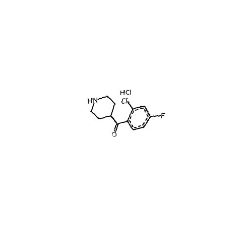 Cl.O=C(c1ccc(F)cc1Cl)C1CCNCC1